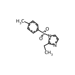 CCc1nccn1S(=O)(=O)c1ccc(C)cc1